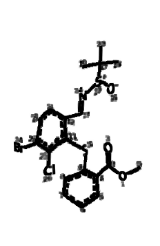 COC(=O)c1ccccc1Sc1c(C=N[S+]([O-])C(C)(C)C)ccc(Br)c1Cl